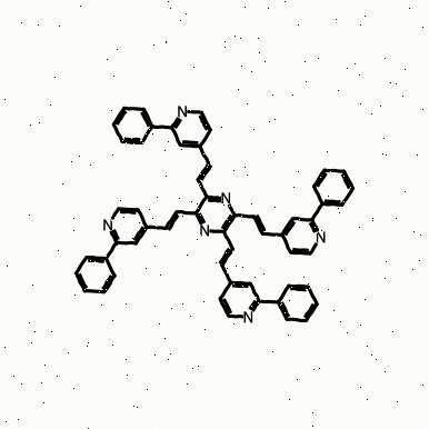 C(=Cc1nc(C=Cc2ccnc(-c3ccccc3)c2)c(C=Cc2ccnc(-c3ccccc3)c2)nc1C=Cc1ccnc(-c2ccccc2)c1)c1ccnc(-c2ccccc2)c1